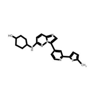 Cc1ccc(-c2cc(-c3cnc4ccc(NC5CCC(O)CC5)nn34)ccn2)s1